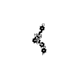 O=C(/C=C/c1ccc(Cl)cc1)N[C@@H](Cc1ccccn1)C(=O)NCC(=O)N1CCC(Oc2ccc(F)cc2)CC1